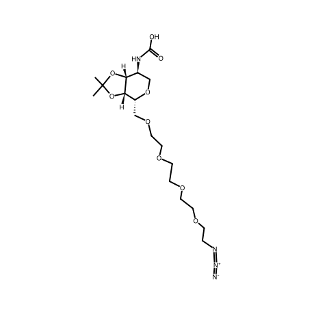 CC1(C)O[C@@H]2[C@H](O1)[C@@H](NC(=O)O)CO[C@@H]2COCCOCCOCCOCCN=[N+]=[N-]